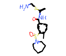 C=C(NC(=O)c1ccc(C)c([S+]([O-])N2CCCCCC2)c1)S/C=C\N